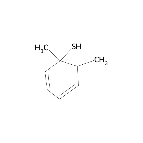 CC1C=CC=CC1(C)S